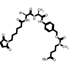 CC(C)[C@H](NC(=O)CCCCCN1C(=O)C=CC1=O)C(=O)N[C@@H](C)C(=O)Nc1ccc(COC(=O)N(C)CCCC(=O)C(C)(C)C)cc1